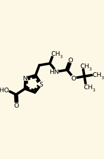 CC(Cc1nc(C(=O)O)cs1)NC(=O)OC(C)(C)C